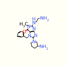 Cn1c(NCCN)nc2nc(N3CCCC(N)C3)n(Cc3ccccc3)c2c1=O